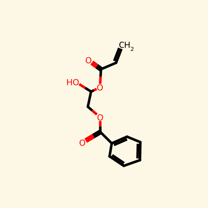 C=CC(=O)OC(O)COC(=O)c1ccccc1